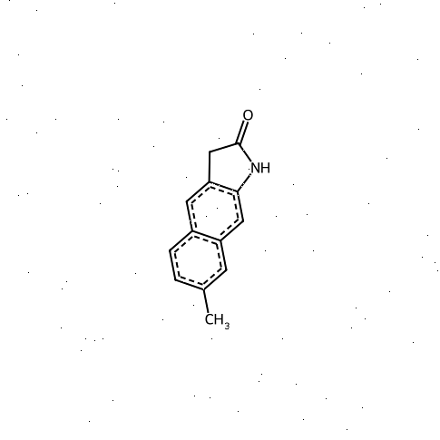 Cc1ccc2cc3c(cc2c1)NC(=O)C3